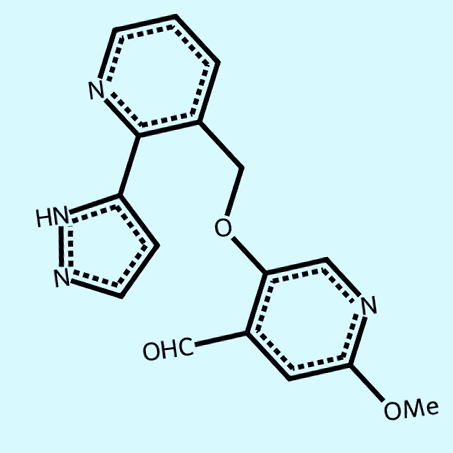 COc1cc(C=O)c(OCc2cccnc2-c2ccn[nH]2)cn1